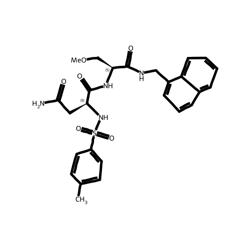 COC[C@H](NC(=O)[C@H](CC(N)=O)NS(=O)(=O)c1ccc(C)cc1)C(=O)NCc1cccc2ccccc12